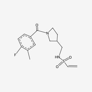 C=CS(=O)(=O)NCC1CCN(C(=O)c2ccc(F)c(C)c2)C1